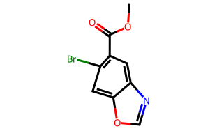 COC(=O)c1cc2ncoc2cc1Br